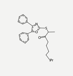 CC(C)CCCCC(=O)C(C)Sc1nc(-c2ccccc2)c(-c2ccccc2)o1